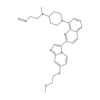 COCCOc1ccn2c(-c3ccc4cccc(N5CCC(N(C)CCN=O)CC5)c4n3)cnc2c1